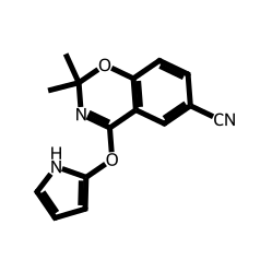 CC1(C)N=C(Oc2ccc[nH]2)c2cc(C#N)ccc2O1